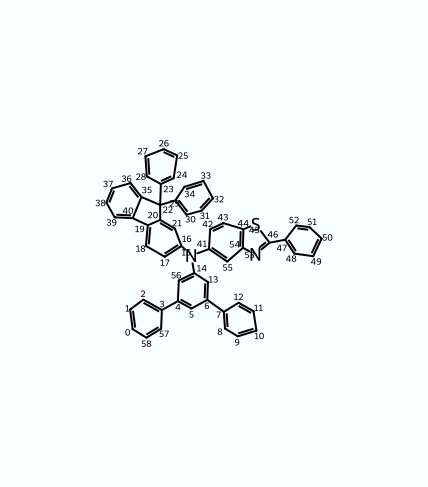 c1ccc(-c2cc(-c3ccccc3)cc(N(c3ccc4c(c3)C(c3ccccc3)(c3ccccc3)c3ccccc3-4)c3ccc4sc(-c5ccccc5)nc4c3)c2)cc1